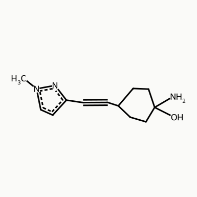 Cn1ccc(C#CC2CCC(N)(O)CC2)n1